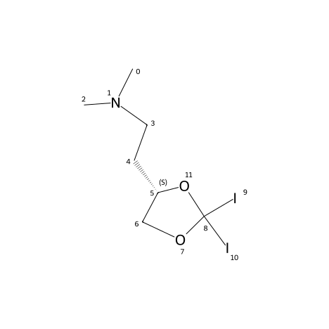 CN(C)CC[C@H]1COC(I)(I)O1